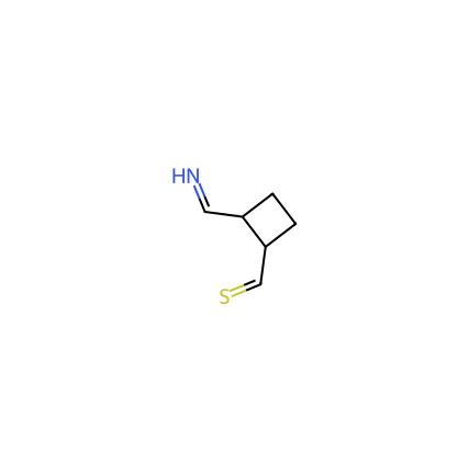 N=CC1CCC1C=S